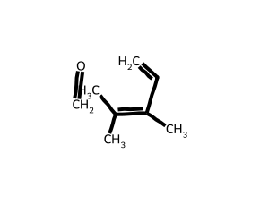 C=CC(C)=C(C)C.C=O